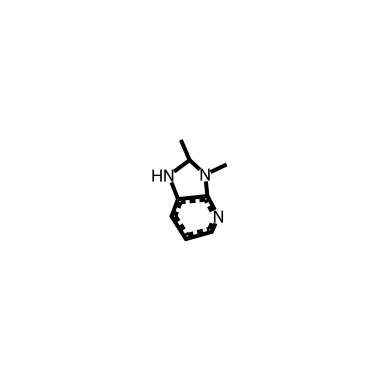 CC1Nc2cccnc2N1C